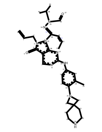 C=CCn1c(=O)c2cnc(Nc3ccc(N4CC5(CCNCC5)C4)c(C)c3)nc2n1C(/C=C\C)=N/N(C=O)C(C)C